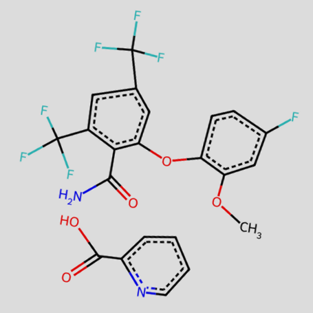 COc1cc(F)ccc1Oc1cc(C(F)(F)F)cc(C(F)(F)F)c1C(N)=O.O=C(O)c1ccccn1